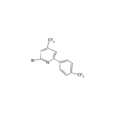 FC(F)(F)c1ccc(-c2cc(C(F)(F)F)cc(Br)n2)cc1